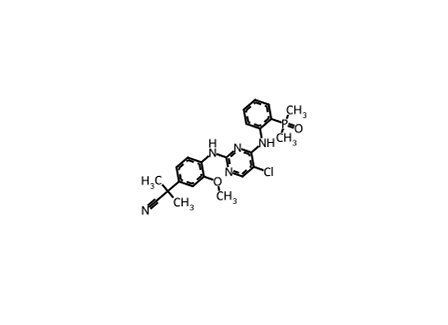 COc1cc(C(C)(C)C#N)ccc1Nc1ncc(Cl)c(Nc2ccccc2P(C)(C)=O)n1